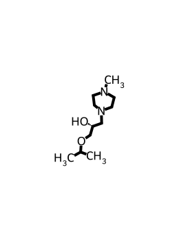 CC(C)OC[C@H](O)CN1CCN(C)CC1